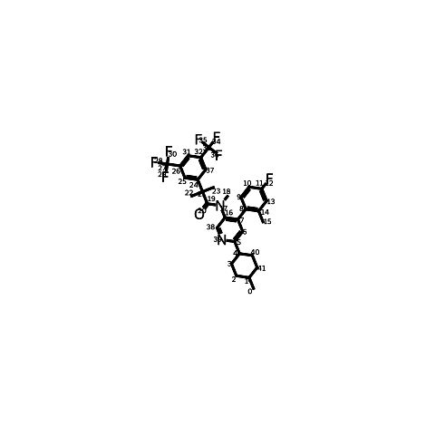 C[C]1CCC(c2cc(-c3ccc(F)cc3C)c(N(C)C(=O)C(C)(C)c3cc(C(F)(F)F)cc(C(F)(F)F)c3)cn2)CC1